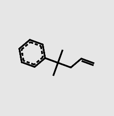 C=CCC(C)(C)c1ccccc1